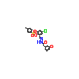 COc1cccc(CC(=O)NN=Cc2cc(Cl)ccc2OS(=O)(=O)c2ccc(C)cc2)c1